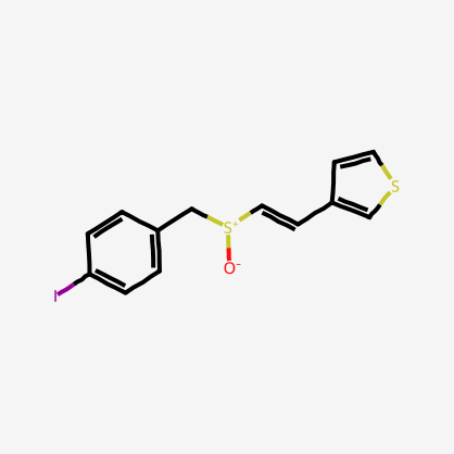 [O-][S+](/C=C/c1ccsc1)Cc1ccc(I)cc1